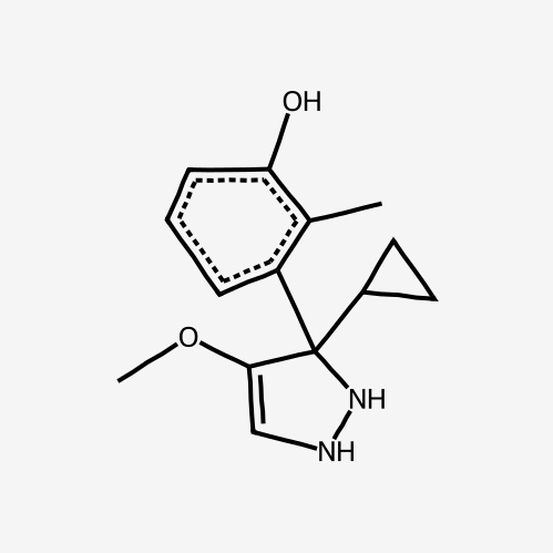 COC1=CNNC1(c1cccc(O)c1C)C1CC1